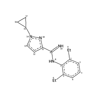 CCc1cccc(CC)c1NC(=N)c1ccn(C2CC2)n1